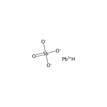 [O]=[Sb]([O-])([O-])[O-].[PbH+3]